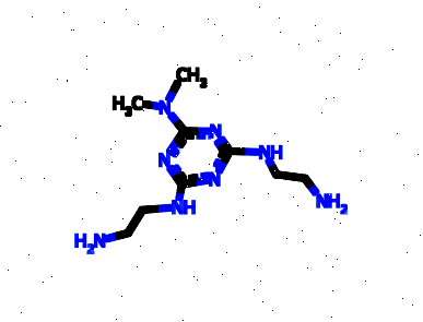 CN(C)c1nc(NCCN)nc(NCCN)n1